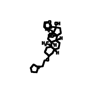 C[C@]12CC[C@H](OCCN3CCCC3)C[C@H]1CC[C@@H]1[C@@H]2CC[C@]2(C)[C@@](O)(c3ccco3)CC[C@]12O